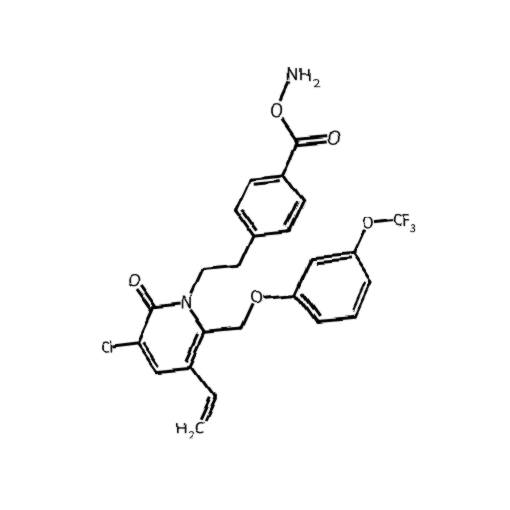 C=Cc1cc(Cl)c(=O)n(CCc2ccc(C(=O)ON)cc2)c1COc1cccc(OC(F)(F)F)c1